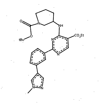 CCOC(=O)c1cnc(-c2cccc(-c3cnn(C)c3)c2)nc1NC1CCCN(C(=O)OC(C)(C)C)C1